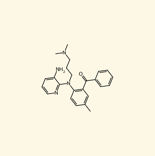 Cc1ccc(N(CCCN(C)C)c2ncccc2N)c(C(=O)c2ccccc2)c1